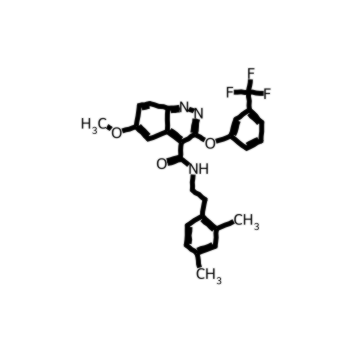 COc1ccc2nnc(Oc3cccc(C(F)(F)F)c3)c(C(=O)NCCc3ccc(C)cc3C)c2c1